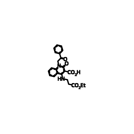 CCOC(=O)CCNc1c(C(=O)O)c(=O)n(CC(=O)c2ccccc2)c2ccccc12